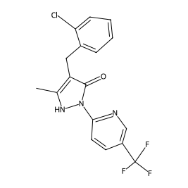 Cc1[nH]n(-c2ccc(C(F)(F)F)cn2)c(=O)c1Cc1ccccc1Cl